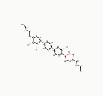 C/C=C/CCc1ccc(-c2ccc(-c3ccc(C4CCC(CCCC)CO4)c(F)c3)cc2)c(F)c1F